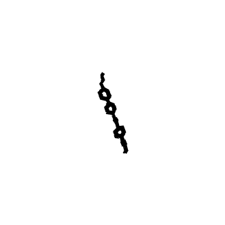 CCC#Cc1ccc(C#Cc2ccc(-c3ccc(CCCC)cc3)cc2)cc1